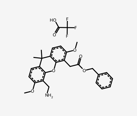 COc1ccc2c(c1CN)Oc1c(ccc(OC)c1CC(=O)OCc1ccccc1)C2(C)C.O=C(O)C(F)(F)F